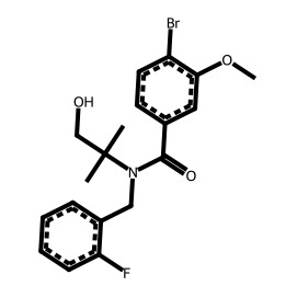 COc1cc(C(=O)N(Cc2ccccc2F)C(C)(C)CO)ccc1Br